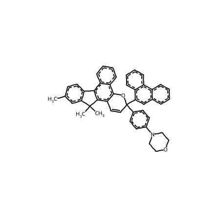 Cc1ccc2c(c1)C(C)(C)c1c3c(c4ccccc4c1-2)OC(c1ccc(N2CCOCC2)cc1)(c1cc2ccccc2c2ccccc12)C=C3